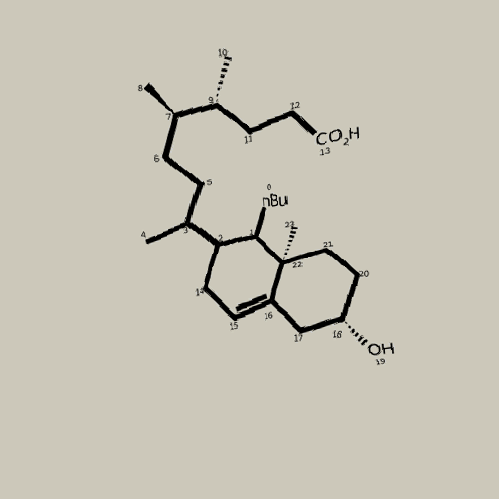 CCCCC1C(C(C)CC[C@@H](C)[C@H](C)CCC(=O)O)CC=C2C[C@@H](O)CC[C@@]21C